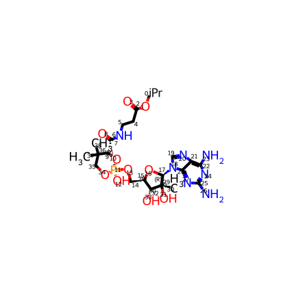 CC(C)OC(=O)CCNC(=O)[C@@H]1O[P](O)(OC[C@H]2O[C@@H](n3cnc4c(N)nc(N)nc43)[C@](C)(O)[C@@H]2O)OCC1(C)C